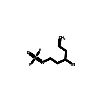 C=CCC(CC)CCN=S(=O)(F)F